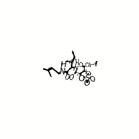 CC[C@H](C)C(NC(=O)[C@H]1OS(=O)(=O)O[C@@H]1C(=O)O)C(=O)NCCC(C)C